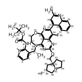 C[C@H](c1cccnc1NC(=O)OC(C)(C)C)N1CCOc2nc(-c3cc(N)nc4ccccc34)c(F)c3nc(OC[C@@]45CCCN4C[C@H](F)C5)nc1c23